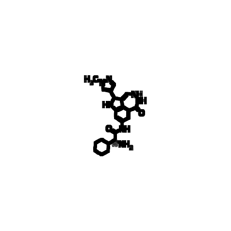 Cn1cc(C2Nc3cc(NC(=O)[C@H](N)C4CCCCC4)cc4c3C2=CNNC4=O)cn1